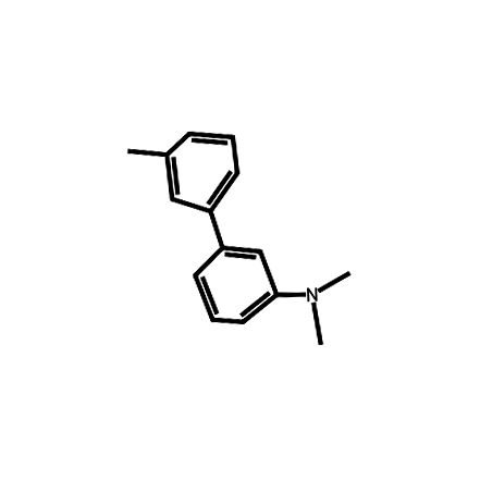 Cc1cccc(-c2cccc(N(C)C)c2)c1